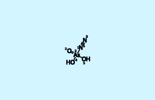 N#[N+][As](=O)(O)O